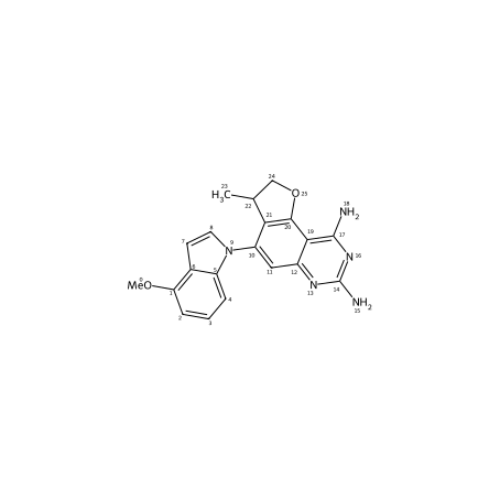 COc1cccc2c1ccn2-c1cc2nc(N)nc(N)c2c2c1C(C)CO2